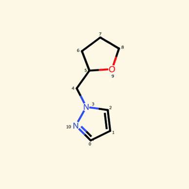 [c]1ccn(CC2CCCO2)n1